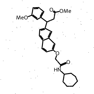 COC(=O)CC(c1cccc(OC)c1)c1ccc2ccc(OCC(=O)NC3CCCCCC3)cc2c1